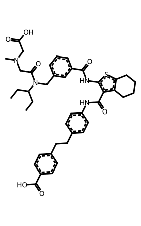 CCC(CC)N(Cc1cccc(C(=O)Nc2sc3c(c2C(=O)Nc2ccc(CCc4ccc(C(=O)O)cc4)cc2)CCCC3)c1)C(=O)CN(C)CC(=O)O